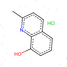 Cc1ccc2cccc(O)c2n1.Cl